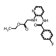 CCOC(=O)CNc1ncccc1NC(=O)c1ccc(F)cc1